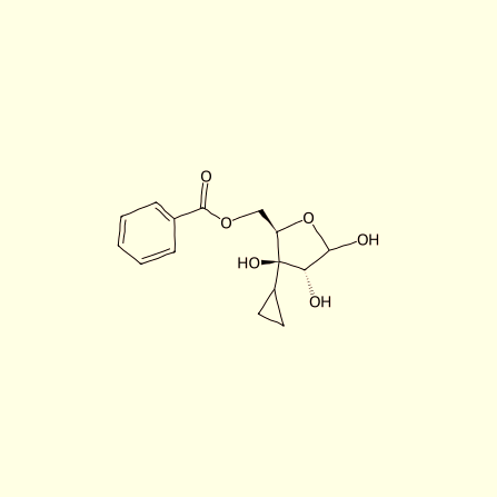 O=C(OC[C@H]1OC(O)[C@H](O)[C@]1(O)C1CC1)c1ccccc1